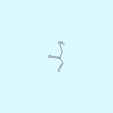 CCC(=O)[C]=S